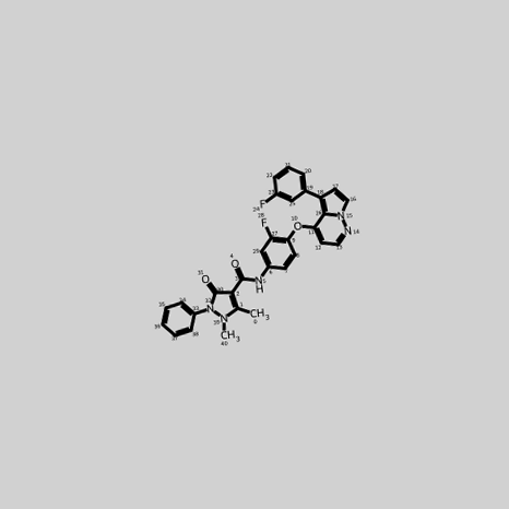 Cc1c(C(=O)Nc2ccc(Oc3ccnn4ccc(-c5cccc(F)c5)c34)c(F)c2)c(=O)n(-c2ccccc2)n1C